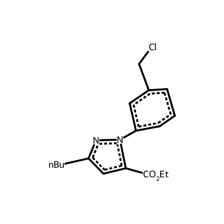 CCCCc1cc(C(=O)OCC)n(-c2cccc(CCl)c2)n1